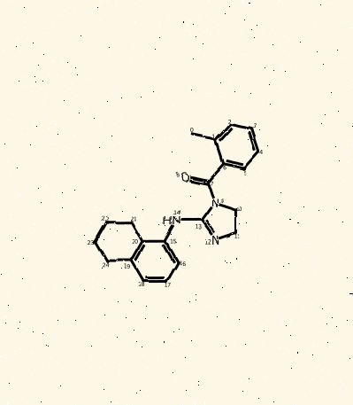 Cc1ccccc1C(=O)N1CCN=C1Nc1cccc2c1CCCC2